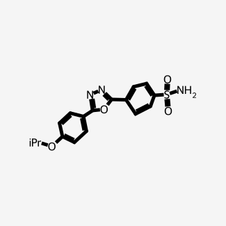 CC(C)Oc1ccc(-c2nnc(-c3ccc(S(N)(=O)=O)cc3)o2)cc1